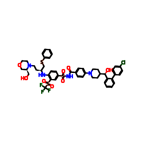 O=C(NS(=O)(=O)c1ccc(N[C@H](CCN2CCOC[C@H]2CO)CSc2ccccc2)c(S(=O)(=O)C(F)(F)F)c1)c1ccc(N2CCC([C@H](O)c3ccccc3-c3ccc(Cl)cc3)CC2)cc1